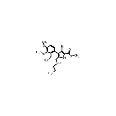 CCCNCc1[nH]c(C(=O)OC)c(Br)c1-c1ccc(OC)c(OC)c1OC